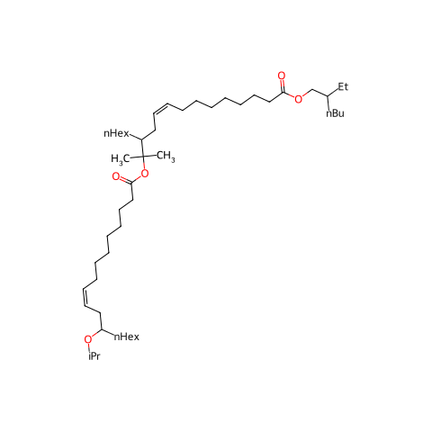 CCCCCCC(C/C=C\CCCCCCCC(=O)OC(C)(C)C(C/C=C\CCCCCCCC(=O)OCC(CC)CCCC)CCCCCC)OC(C)C